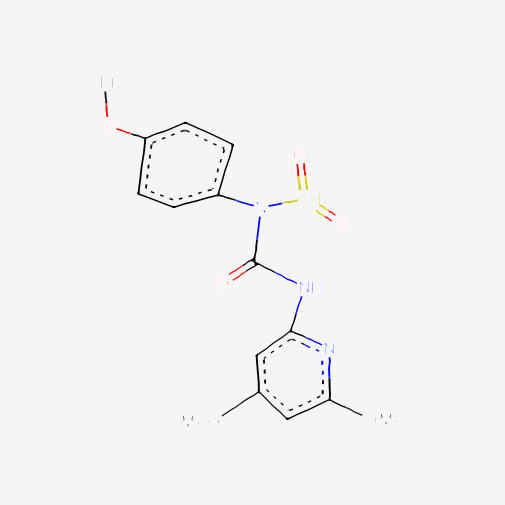 CCOc1ccc(N(C(=O)Nc2cc(OC)cc(OC)n2)[SH](=O)=O)cc1